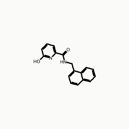 O=C(NCc1cccc2ccccc12)c1cccc(O)n1